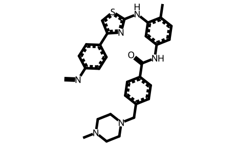 C=Nc1ccc(-c2csc(Nc3cc(NC(=O)c4ccc(CN5CCN(C)CC5)cc4)ccc3C)n2)cc1